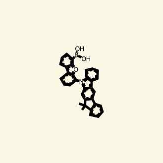 CC1(C)c2ccccc2-c2cc3c4ccccc4n(-c4cccc5c4oc4c(B(O)O)cccc45)c3cc21